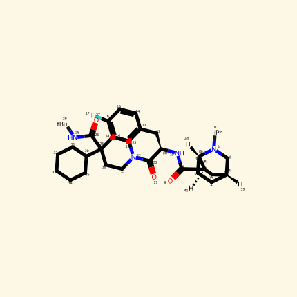 CC(C)N1C[C@@H]2CC[C@H]1[C@H](C(=O)N[C@H](Cc1ccc(F)cc1)C(=O)N1CCC(C(=O)NC(C)(C)C)(C3CCCCC3)CC1)C2